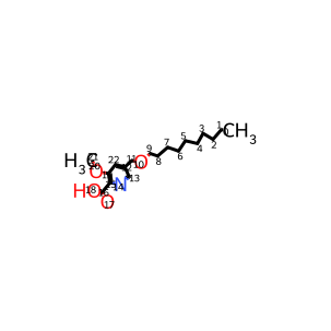 CCCCCCCCCCOCc1cnc(C(=O)O)c(OC)c1